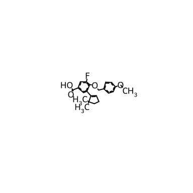 COc1ccc(COc2c(F)cc(C(=O)O)cc2C2=CCCC2(C)C)cc1